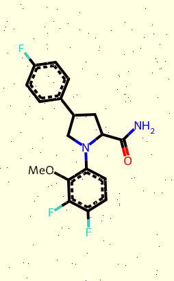 COc1c(N2CC(c3ccc(F)cc3)CC2C(N)=O)ccc(F)c1F